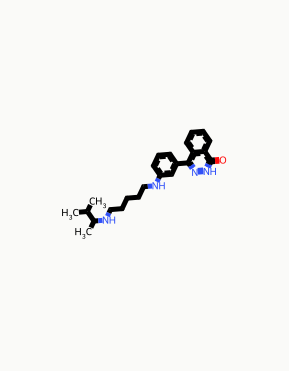 CC(C)C(C)NCCCCCNc1cccc(-c2n[nH]c(=O)c3ccccc23)c1